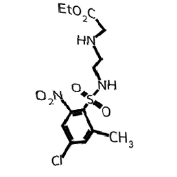 CCOC(=O)CNCCNS(=O)(=O)c1c(C)cc(Cl)cc1[N+](=O)[O-]